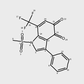 CS(=O)(=O)n1cc(-c2ccccc2)c2c1C(C(F)(F)F)=CC(=O)C2=O